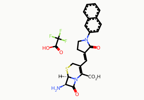 N[C@@H]1C(=O)N2C(C(=O)O)=C(C=C3CCN(c4ccc5ccccc5c4)C3=O)CS[C@H]12.O=C(O)C(F)(F)F